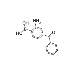 Nc1cc(C(=O)c2ccccc2)ccc1B(O)O